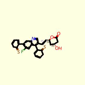 O=C1C[C@H](O)C[C@@H](/C=C/c2cnc3cc(C4=CC=CCC4=S)c(F)cc3c2C2=CC=CCC2=S)O1